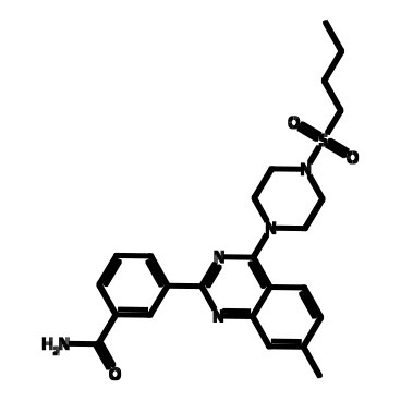 CCCCS(=O)(=O)N1CCN(c2nc(-c3cccc(C(N)=O)c3)nc3cc(C)ccc23)CC1